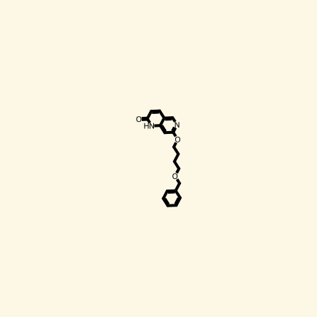 O=c1ccc2cnc(OCCCCOCc3ccccc3)cc2[nH]1